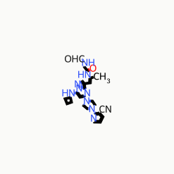 C/C(=C/c1cnn2c(NC3CCC3)cc(N3CCN(c4ncccc4C#N)CC3)nc12)NC(=O)CNC=O